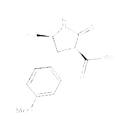 COC(=O)[C@@H]1C(=O)N[C@H](C)[C@H]1c1ccc(OC)cc1